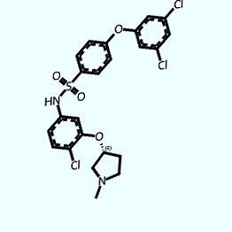 CN1CC[C@@H](Oc2cc(NS(=O)(=O)c3ccc(Oc4cc(Cl)cc(Cl)c4)cc3)ccc2Cl)C1